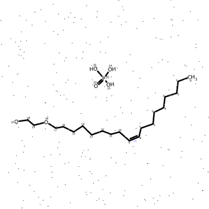 CCCCCCCC/C=C\CCCCCCCCOCC[O].O=P(O)(O)O